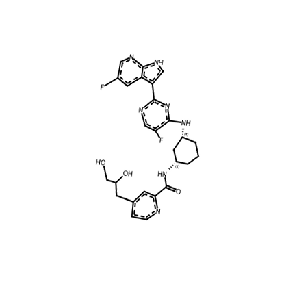 O=C(N[C@H]1CCC[C@@H](Nc2nc(-c3c[nH]c4ncc(F)cc34)ncc2F)C1)c1cc(CC(O)CO)ccn1